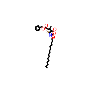 CCCCCCCCCCCCCCCCOc1nc2sc(C(=O)OCc3ccccc3)c(C)c2c(=O)o1